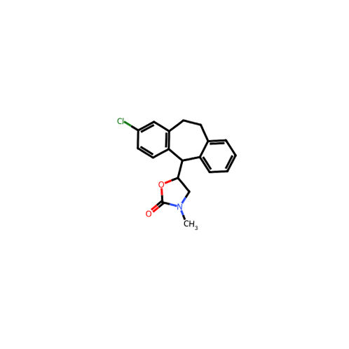 CN1CC(C2c3ccccc3CCc3cc(Cl)ccc32)OC1=O